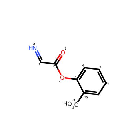 N=CC(=O)Oc1ccccc1C(=O)O